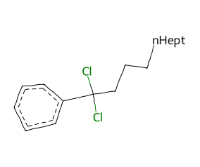 CCCCCCCCCCC(Cl)(Cl)c1ccccc1